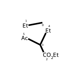 CCC.CCOC(=O)C(CC)C(C)=O